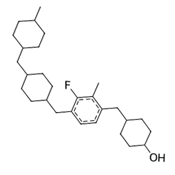 Cc1c(CC2CCC(O)CC2)ccc(CC2CCC(CC3CCC(C)CC3)CC2)c1F